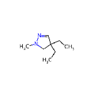 CCC1(CC)C=NN(C)C1